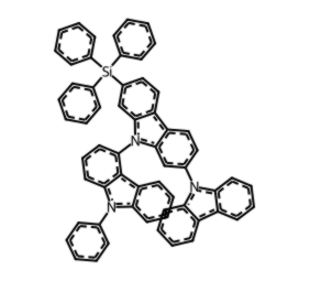 c1ccc(-n2c3ccccc3c3c(-n4c5cc(-n6c7ccccc7c7ccccc76)ccc5c5ccc([Si](c6ccccc6)(c6ccccc6)c6ccccc6)cc54)cccc32)cc1